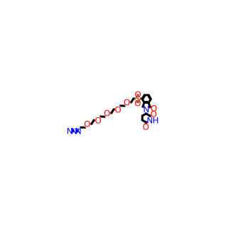 [N-]=[N+]=NCCOCCOCCOCCOCCOCCS(=O)(=O)c1cccc2c1CN(C1CCC(=O)NC1=O)C2=O